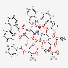 CO[C@@H]1OC(C)[C@H](OCc2ccccc2)[C@H](O[C@H]2O[C@@H](COCc3ccccc3)[C@@H](OCc3ccccc3)C(OCc3ccccc3)C2OCc2ccccc2)C1O[C@@H]1OC(COC(C)=O)[C@@H](OC(C)=O)[C@H](OC(C)=O)C1NC(C)=O